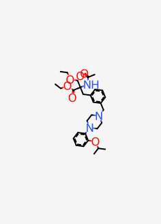 CCOC(=O)C(Cc1cccc(CN2CCN(c3ccccc3OC(C)C)CC2)c1)(NC(C)=O)C(=O)OCC